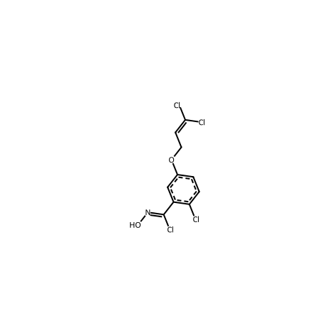 O/N=C(\Cl)c1cc(OCC=C(Cl)Cl)ccc1Cl